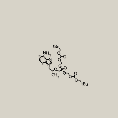 C[C@H](Cn1cnc2c(N)ncnc21)OCP(=O)(OCOC(=O)OCC(C)(C)C)OCOC(=O)OCC(C)(C)C